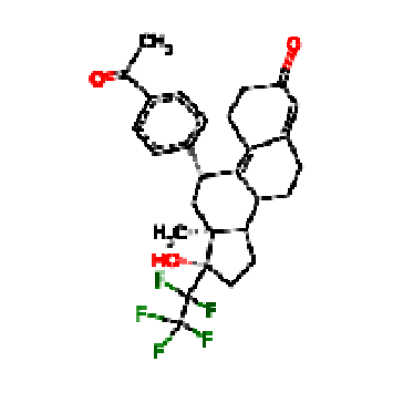 CC(=O)c1ccc([C@H]2C[C@@]3(C)C(CC[C@@]3(O)C(F)(F)C(F)(F)F)C3CCC4=CC(=O)CCC4=C32)cc1